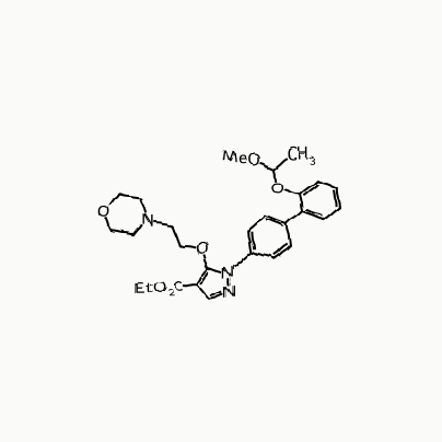 CCOC(=O)c1cnn(-c2ccc(-c3ccccc3OC(C)OC)cc2)c1OCCN1CCOCC1